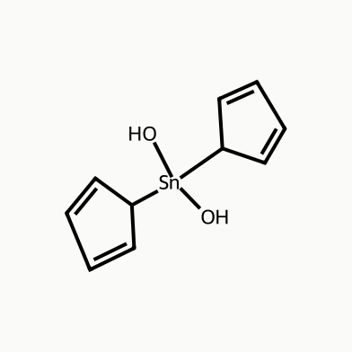 [OH][Sn]([OH])([CH]1C=CC=C1)[CH]1C=CC=C1